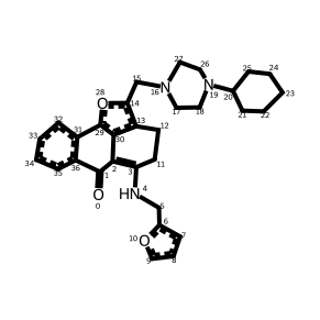 O=C1C2=C(NCc3ccco3)CCc3c(CN4CCN(C5CCCCC5)CC4)oc(c32)-c2ccccc21